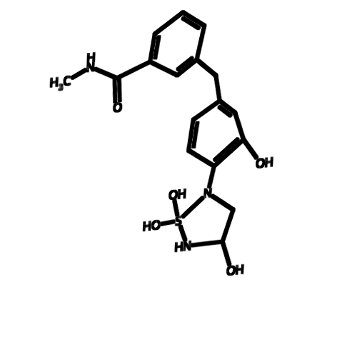 CNC(=O)c1cccc(Cc2ccc(N3CC(O)NS3(O)O)c(O)c2)c1